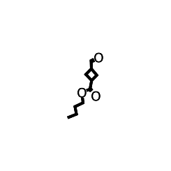 CCCCOC(=O)C1CC(C=O)C1